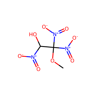 COC(C(O)[N+](=O)[O-])([N+](=O)[O-])[N+](=O)[O-]